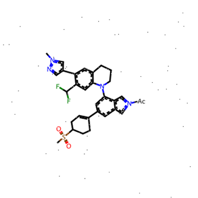 CC(=O)n1cc2cc(C3=CCC(S(C)(=O)=O)CC3)cc(N3CCCc4cc(-c5cnn(C)c5)c(C(F)F)cc43)c2c1